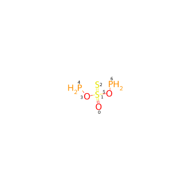 O=S(=S)(OP)OP